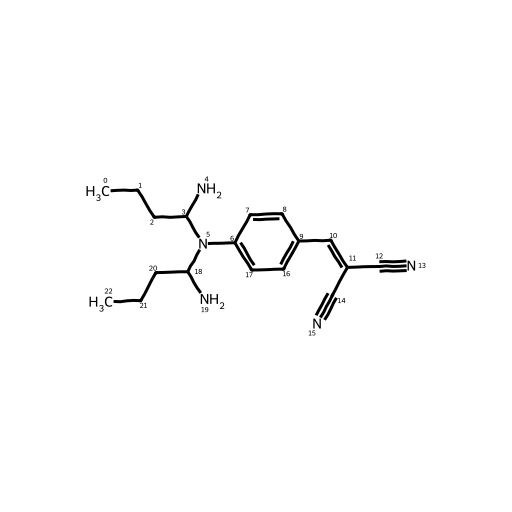 CCCC(N)N(c1ccc(C=C(C#N)C#N)cc1)C(N)CCC